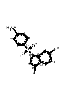 Cc1ccc(S(=O)(=O)n2cc(I)c3ccc(F)cc32)cc1